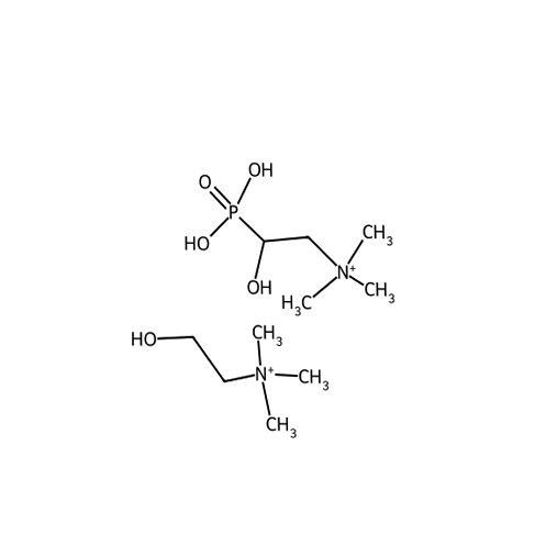 C[N+](C)(C)CC(O)P(=O)(O)O.C[N+](C)(C)CCO